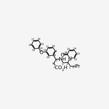 CC(C)CC(CNC(CC(=O)O)c1cccc(Oc2ccccc2)c1)n1ccccc1=O